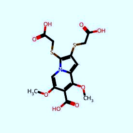 COc1cn2c(SCC(=O)O)c(SCC(=O)O)[c]c2c(OC)c1C(=O)O